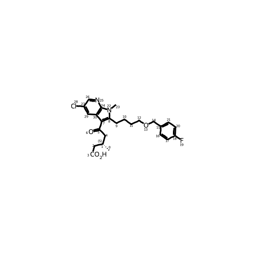 C[C@H](CC(=O)O)CC(=O)c1c(CCCCOCc2ccc(F)cc2)n(C)c2ncc(Cl)cc12